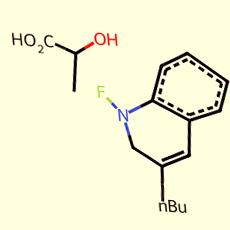 CC(O)C(=O)O.CCCCC1=Cc2ccccc2N(F)C1